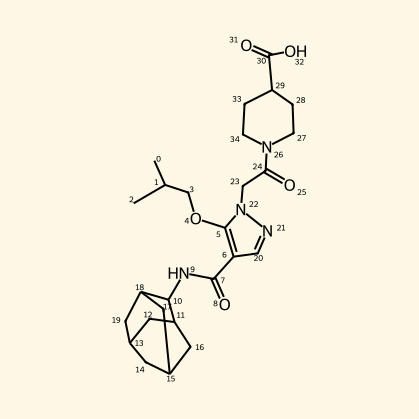 CC(C)COc1c(C(=O)NC2C3CC4CC(C3)CC2C4)cnn1CC(=O)N1CCC(C(=O)O)CC1